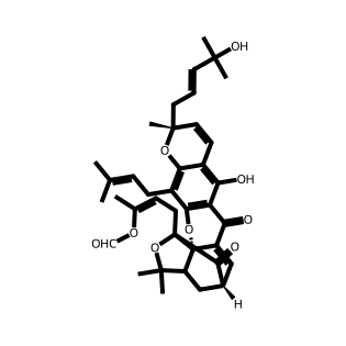 CC(C)=CCc1c2c(c(O)c3c1O[C@]14C(=C[C@@H]5CC1C(C)(C)OC4(C/C=C(/C)OC=O)C5=O)C3=O)C=C[C@@](C)(C/C=C/C(C)(C)O)O2